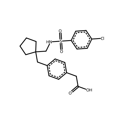 O=C(O)Cc1ccc(CC2(CNS(=O)(=O)c3ccc(Cl)cc3)CCCC2)cc1